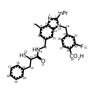 CCCc1nc2c(C)cc(CNC(=O)C(S)Cc3ccccc3)cc2n1Cc1ccc(C(=O)O)c(F)c1